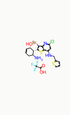 N[C@H]1CC=C[C@H](O)[C@@H]1c1sc2c(NCc3cccs3)cc(Cl)nc2c1Br.O=C(O)C(F)(F)F